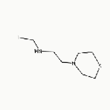 ICNCCN1CCSCC1